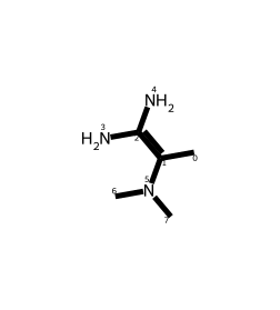 CC(=C(N)N)N(C)C